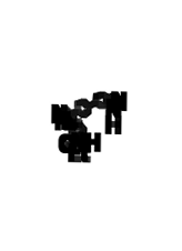 CCC(=O)N[C@H]1CC[C@@H](n2nncc2-c2ccc(-c3ccc4cn[nH]c4c3)cc2)C1